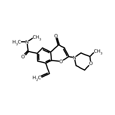 C=Cc1cc(C(=O)N(C)C)cc2c(=O)cc(N3CCOC(C)C3)oc12